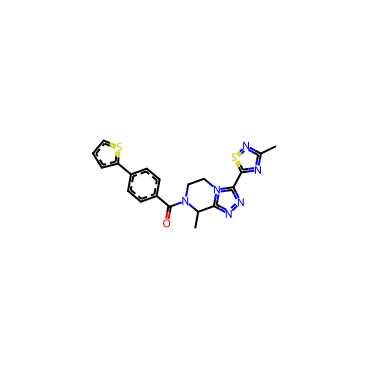 Cc1nsc(-c2nnc3n2CCN(C(=O)c2ccc(-c4cccs4)cc2)C3C)n1